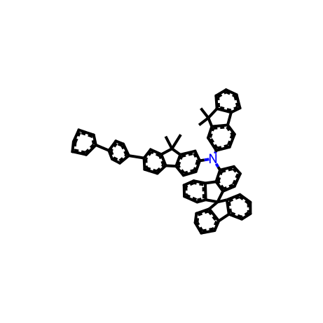 CC1(C)c2ccccc2-c2ccc(N(c3ccc4c(c3)C(C)(C)c3cc(-c5ccc(-c6ccccc6)cc5)ccc3-4)c3cccc4c3-c3ccccc3C43c4ccccc4-c4ccccc43)cc21